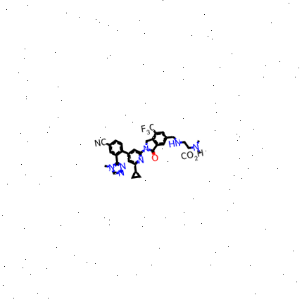 CN(CCNCc1cc2c(c(C(F)(F)F)c1)CN(c1cc(-c3ccc(C#N)cc3-c3nncn3C)cc(C3CC3)n1)C2=O)C(=O)O